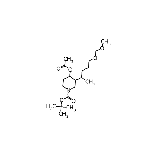 COCOCCCC(C)C1CN(C(=O)OC(C)(C)C)CCC1OC(C)=O